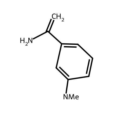 C=C(N)c1cccc(NC)c1